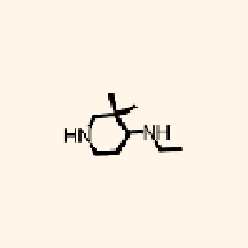 CCNC1CCNCC1(C)C